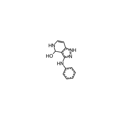 OC1NC=Cc2[nH]nc(Nc3ccccc3)c21